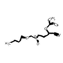 CCCCOC[PH](=O)CCC(C#N)OC(C)=O